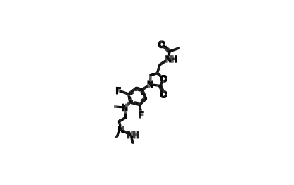 CNN(C)CCN(C)c1c(F)cc(N2CC(CNC(C)=O)OC2=O)cc1F